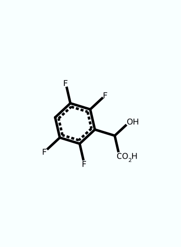 O=C(O)C(O)c1c(F)c(F)cc(F)c1F